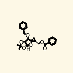 CC1(C)OC2C(OCc3ccccc3)[C@@]3(C[C@H]3COC(=O)c3ccccc3)O[C@@H]2O1